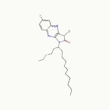 CCCCCCCCCCC(CCCCC)N1C(=O)C(Cl)c2nc3cc(F)ccc3nc21